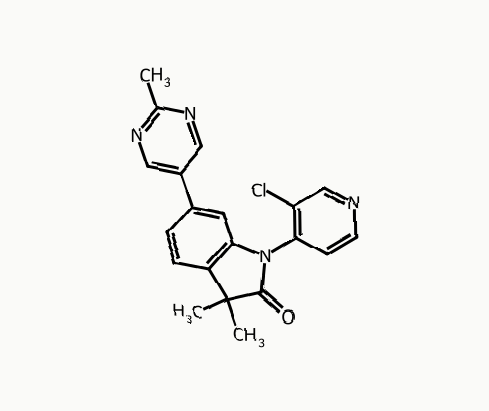 Cc1ncc(-c2ccc3c(c2)N(c2ccncc2Cl)C(=O)C3(C)C)cn1